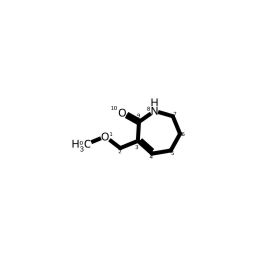 COCC1=CCCCNC1=O